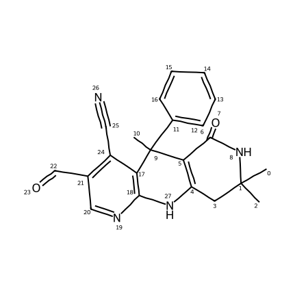 CC1(C)CC2=C(C(=O)N1)C(C)(c1ccccc1)c1c(ncc(C=O)c1C#N)N2